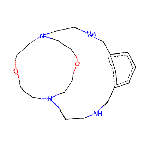 c1cc2cc(c1)CNCCN1CCOCCN(CCNC2)CCOCC1